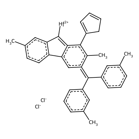 Cc1cccc(C(c2cccc(C)c2)=c2cc3c(c(C4=CC=CC4)c2C)=[C]([Hf+2])c2cc(C)ccc2-3)c1.[Cl-].[Cl-]